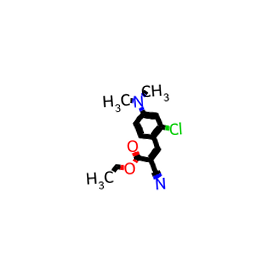 CCOC(=O)C(C#N)=Cc1ccc(N(C)C)cc1Cl